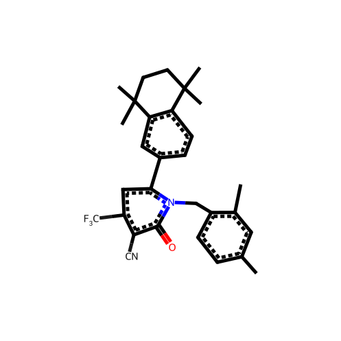 Cc1ccc(Cn2c(-c3ccc4c(c3)C(C)(C)CCC4(C)C)cc(C(F)(F)F)c(C#N)c2=O)c(C)c1